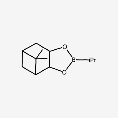 CC(C)B1OC2CC3CC(C2O1)C3(C)C